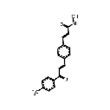 O=C(C=Cc1ccc(C=CC(=O)c2ccc(C(F)(F)F)cc2)cc1)NO